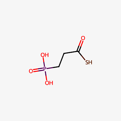 O=C(S)CCP(=O)(O)O